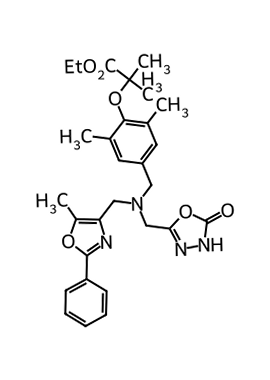 CCOC(=O)C(C)(C)Oc1c(C)cc(CN(Cc2n[nH]c(=O)o2)Cc2nc(-c3ccccc3)oc2C)cc1C